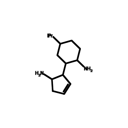 CC(C)C1CCC(N)C(C2C=CCC2N)C1